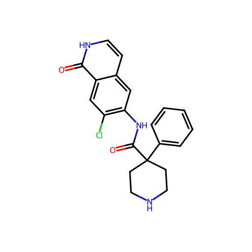 O=C(Nc1cc2cc[nH]c(=O)c2cc1Cl)C1(c2ccccc2)CCNCC1